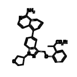 CCOC(=O)C(C)c1ccccc1OCc1nn(C2CCOC2)c2ccc(-c3cccc4c(N)nccc34)cc12